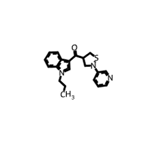 CCCn1cc(C(=O)C2CSN(c3cccnc3)C2)c2ccccc21